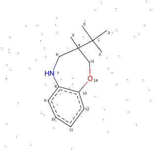 CC(C)(C)C1(C)CNc2ccccc2OC1